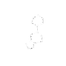 [c]1c(-c2ccccc2)ccc2sccc12